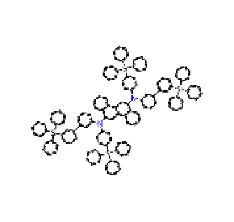 c1ccc([Si](c2ccccc2)(c2ccccc2)c2ccc(N(c3cccc(-c4cccc([Si](c5ccccc5)(c5ccccc5)c5ccccc5)c4)c3)c3cc4c5ccccc5c(N(c5ccc([Si](c6ccccc6)(c6ccccc6)c6ccccc6)cc5)c5cccc(-c6cccc([Si](c7ccccc7)(c7ccccc7)c7ccccc7)c6)c5)cc4c4ccccc34)cc2)cc1